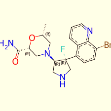 C[C@@H]1CN([C@@H]2CNC[C@]2(F)c2ccc(Br)c3ncccc23)C[C@H](C(N)=O)O1